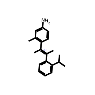 C/C(=C(/C)c1ccccc1C(C)C)c1ccc(N)cc1C